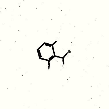 Fc1cccc(F)c1C(Cl)Br